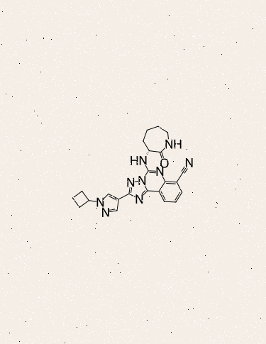 N#Cc1cccc2c1nc(N[C@@H]1CCCCNC1=O)n1nc(-c3cnn(C4CCC4)c3)nc21